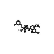 CN1CCC(OC(=O)NC(C)(C)CCc2cncc(F)c2)c2ncc(Br)cc21